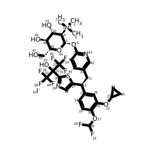 C[N+](C)(C)[C@H]1[C@H](Oc2ccc(C[C@@H](c3ccc(OC(F)F)c(OC4CC4)c3)c3cnc(C(O)(C(F)(F)F)C(F)(F)F)s3)cn2)O[C@H](CO)[C@@H](O)[C@@H]1O.[I-]